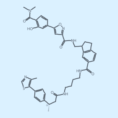 Cc1ncsc1-c1ccc([C@@H](C)CC(=O)NCCCCNC(=O)c2ccc3c(c2)C(CNC(=O)c2cc(-c4ccc(C(=O)N(C)C)c(O)c4)on2)CC3)cc1